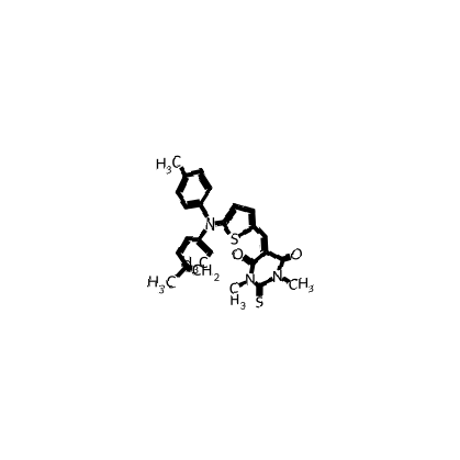 C=C(C)/C=C\C(=C/C)N(c1ccc(C)cc1)c1ccc(C=C2C(=O)N(C)C(=S)N(C)C2=O)s1